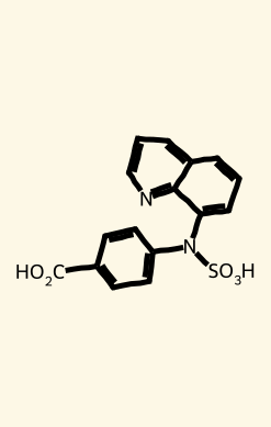 O=C(O)c1ccc(N(c2cccc3cccnc23)S(=O)(=O)O)cc1